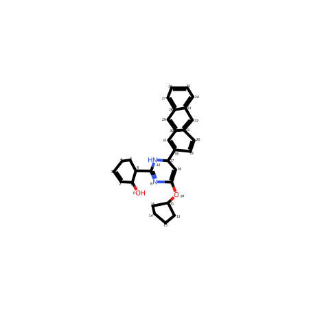 OC1C=CCCC1C1=NC(OC2CCCC2)=CC(c2ccc3cc4ccccc4cc3c2)N1